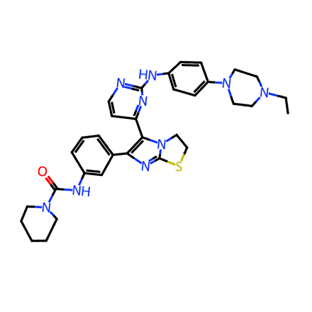 CCN1CCN(c2ccc(Nc3nccc(-c4c(-c5cccc(NC(=O)N6CCCCC6)c5)nc5n4CCS5)n3)cc2)CC1